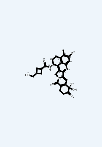 CC[C@@]1(O)C(=O)CCc2c1cc1n(c2=O)Cc2c-1nc1cc(F)c(C)c3c1c2[C@@H](NC(=O)C1CC(CO)C1)CC3